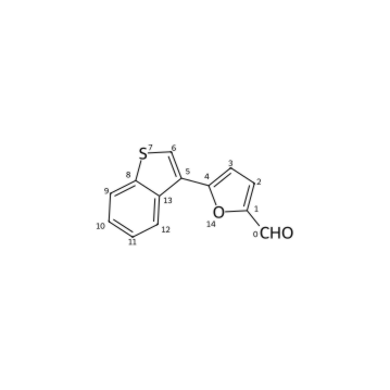 O=Cc1ccc(-c2csc3ccccc23)o1